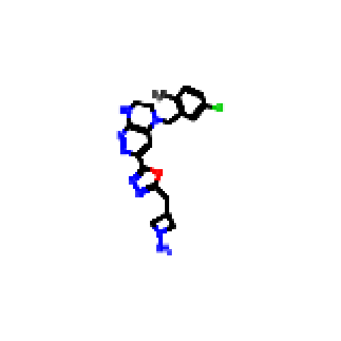 NN1CC(Cc2nnc(-c3cc4c(nn3)NCCN4Cc3cc(Cl)ccc3C(F)(F)F)o2)C1